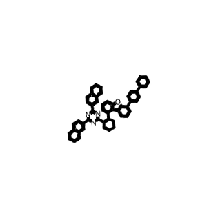 C1=CC(c2nc(-c3ccc4ccccc4c3)nc(-c3ccc4ccccc4c3)n2)=C(c2cccc3oc4c(-c5ccc(-c6ccccc6)cc5)cccc4c23)CC1